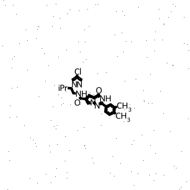 Cc1ccc(-c2nn3cc(C(=O)NCC(C(C)C)n4cc(Cl)cn4)cc3c(=O)[nH]2)cc1C